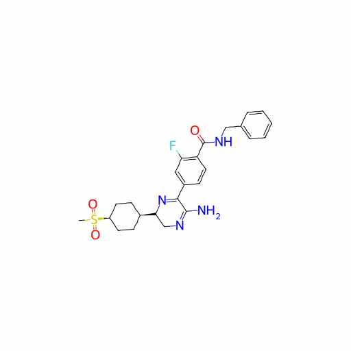 CS(=O)(=O)[C@H]1CC[C@@H](C2CN=C(N)C(c3ccc(C(=O)NCc4ccccc4)c(F)c3)=N2)CC1